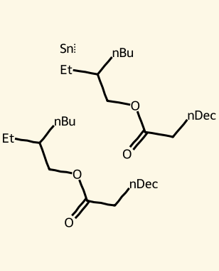 CCCCCCCCCCCC(=O)OCC(CC)CCCC.CCCCCCCCCCCC(=O)OCC(CC)CCCC.[Sn]